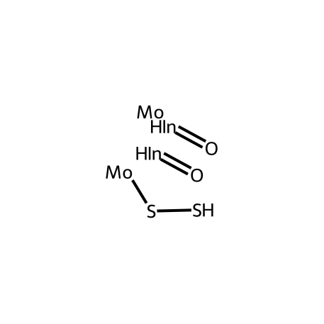 S[S][Mo].[Mo].[O]=[InH].[O]=[InH]